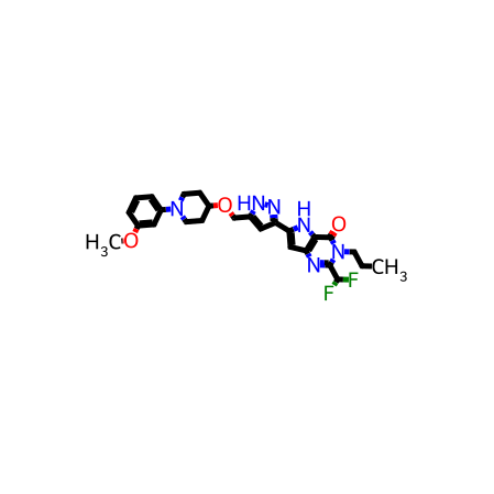 CCCn1c(C(F)F)nc2cc(-c3cc(COC4CCN(c5cccc(OC)c5)CC4)[nH]n3)[nH]c2c1=O